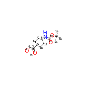 CO[C@@H](C=O)[C@H]1CC[C@H](NC(=O)OC(C)(C)C)CC1